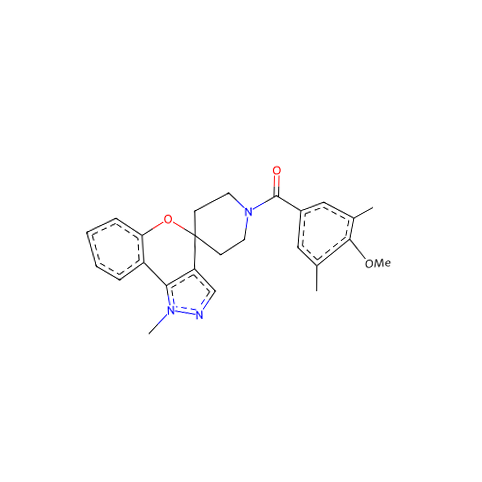 COc1c(C)cc(C(=O)N2CCC3(CC2)Oc2ccccc2-c2c3cnn2C)cc1C